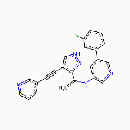 C=C(Nc1cncc(-c2cccc(F)c2)c1)c1n[nH]cc1C#Cc1cccnc1